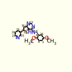 COc1ccc(OC)c(CNc2ncnc3cc(-c4cccnc4)sc23)c1